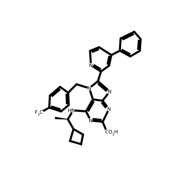 C[C@@H](Nc1nc(C(=O)O)nc2nc(-c3cc(-c4ccccc4)ccn3)n(Cc3ccc(C(F)(F)F)cc3)c12)C1CCC1